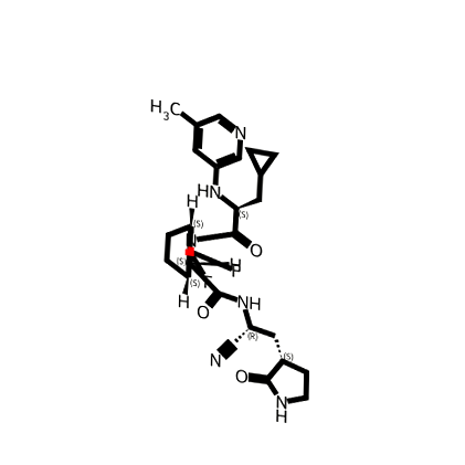 Cc1cncc(N[C@@H](CC2CC2)C(=O)N2[C@H]3CC[C@@H]([C@H]2C(=O)N[C@@H](C#N)C[C@@H]2CCNC2=O)C(F)(F)C3)c1